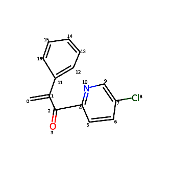 C=C(C(=O)c1ccc(Cl)cn1)c1ccccc1